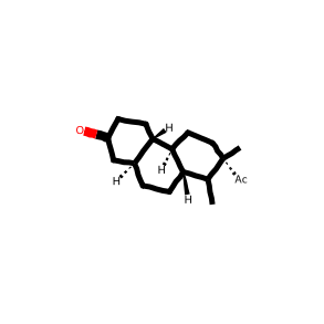 CC(=O)[C@@]1(C)CC[C@@H]2[C@H]3CCC(=O)C[C@@H]3CC[C@H]2C1C